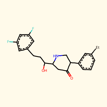 CCc1cccc(C2CNC(C(O)CCc3cc(F)cc(F)c3)CC2=O)c1